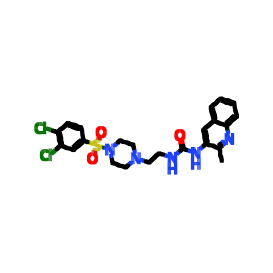 Cc1nc2ccccc2cc1NC(=O)NCCN1CCN(S(=O)(=O)c2ccc(Cl)c(Cl)c2)CC1